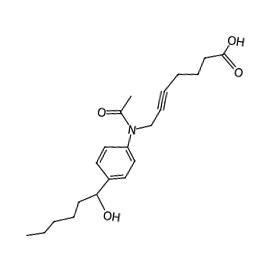 CCCCCC(O)c1ccc(N(CC#CCCCC(=O)O)C(C)=O)cc1